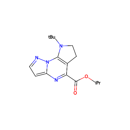 CC(C)OC(=O)c1nc2ccnn2c2c1CCN2C(C)(C)C